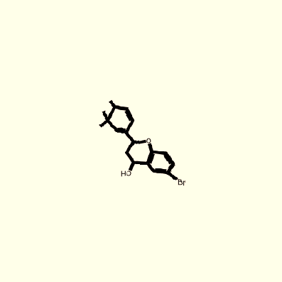 CC1C=CC(C2CC(O)c3cc(Br)ccc3O2)=CC1(C)C